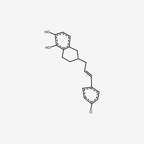 Oc1ccc2c(c1O)CCN(C/C=C/c1ccc(Cl)cc1)C2